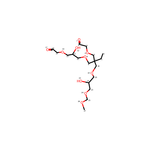 CCC(COCC=O)(COCC(O)COCC=O)COCC(O)COCOC